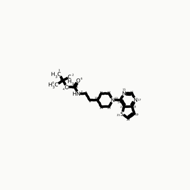 CC(C)(C)OC(=O)NCCC1CCN(c2ncnc3ccsc23)CC1